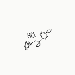 Cl.O=C(Cn1cncn1)c1ccc(Cl)cc1